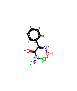 O=C(C(=NO)c1ccccc1)N(Cl)Cl